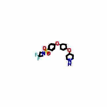 O=S(=O)(c1ccc(O[C@H]2CC[C@H](OC3CCNCC3)CC2)cc1)N1CC(F)(F)C1